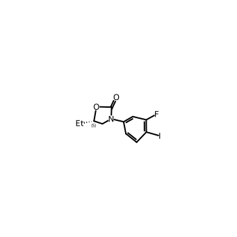 CC[C@H]1CN(c2ccc(I)c(F)c2)C(=O)O1